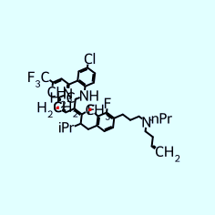 C=CCCN(CCC)CCCc1ccc(CC(/C(C)=C(\C=C)C(=C)Nc2ccc(Cl)cc2C(/C=C(\C)C(F)(F)F)=N/C=C)C(C)C)c(F)c1F